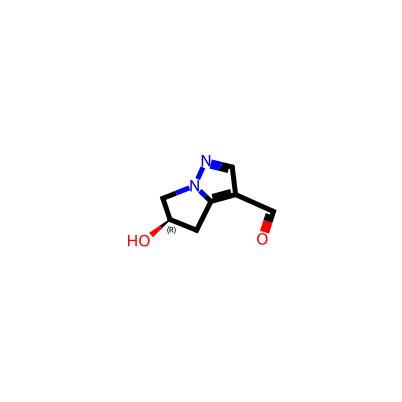 O=Cc1cnn2c1C[C@@H](O)C2